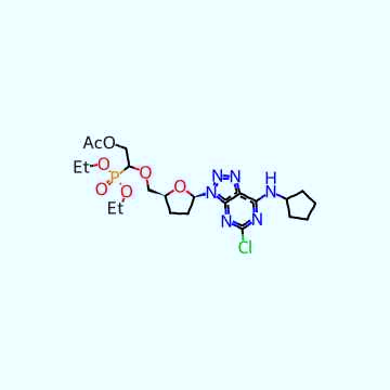 CCOP(=O)(OCC)C(COC(C)=O)OC[C@@H]1CC[C@H](n2nnc3c(NC4CCCC4)nc(Cl)nc32)O1